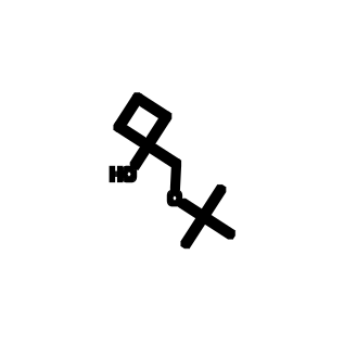 CC(C)(C)OCC1(O)CCC1